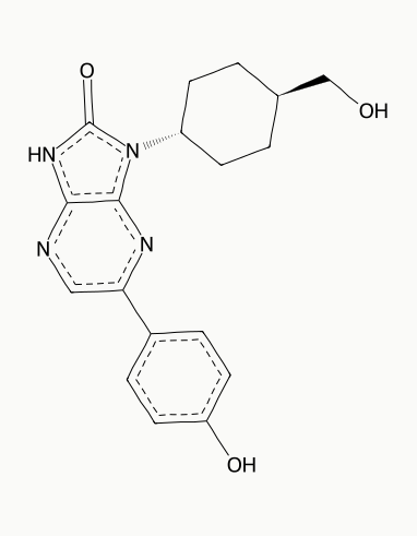 O=c1[nH]c2ncc(-c3ccc(O)cc3)nc2n1[C@H]1CC[C@H](CO)CC1